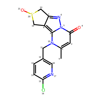 Cc1cc(=O)n2nc3c(c2n1Cc1ccc(Cl)nc1)C[S+]([O-])C3